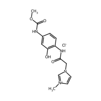 COC(=O)Nc1ccc(NC(=O)Cn2cc[n+](C)c2)c(O)c1.[Cl-]